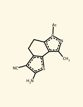 CC(=O)n1nc(C)c2c1CCc1c-2sc(N)c1C#N